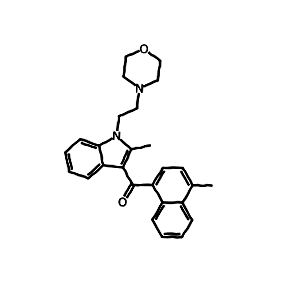 Cc1ccc(C(=O)c2c(C)n(CCN3CCOCC3)c3ccccc23)c2ccccc12